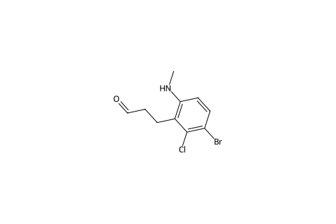 CNc1ccc(Br)c(Cl)c1CCC=O